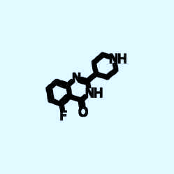 O=c1[nH]c(C2CCNCC2)nc2cccc(F)c12